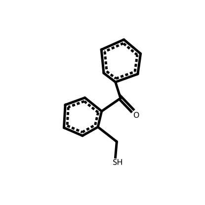 O=C(c1ccccc1)c1ccccc1CS